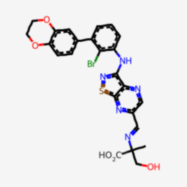 CC(CO)(N=Cc1cnc2c(Nc3cccc(-c4ccc5c(c4)OCCO5)c3Br)nsc2n1)C(=O)O